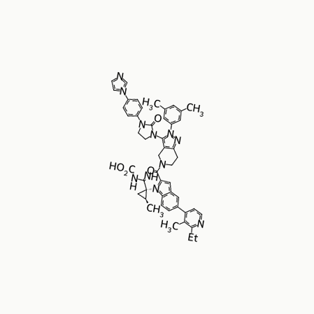 CCc1nccc(-c2ccc3c(c2)cc(C(=O)N2CCc4nn(-c5cc(C)cc(C)c5)c(N5CCN(c6ccc(-n7ccnc7)cc6)C5=O)c4C2)n3[C@@]2(C(=N)NC(=O)O)C[C@@H]2C)c1C